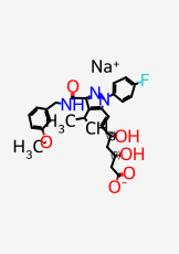 COc1cccc(CNC(=O)c2nn(-c3ccc(F)cc3)c(C=C[C@H](O)C[C@@H](O)CC(=O)[O-])c2C(C)C)c1.[Na+]